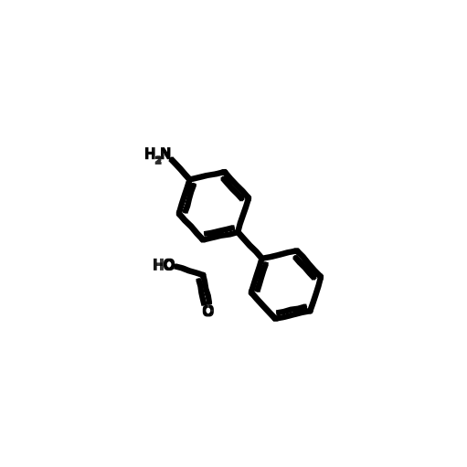 Nc1ccc(-c2ccccc2)cc1.O=CO